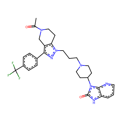 CC(=O)N1CCc2c(c(-c3ccc(C(F)(F)F)cc3)nn2CCCN2CCC(n3c(=O)[nH]c4cccnc43)CC2)C1